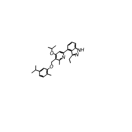 CCc1n[nH]c2cccc(-c3cc(OC(C)C)c(COc4cc(C(C)C)ccc4C)c(C)n3)c12